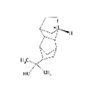 CC(C)(O)C1CC2CC1C1C3CC[C@@H](C3)C21